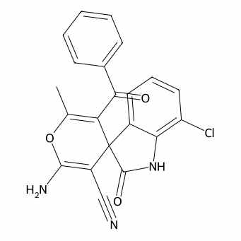 CC1=C(C(=O)c2ccccc2)C2(C(=O)Nc3c(Cl)cccc32)C(C#N)=C(N)O1